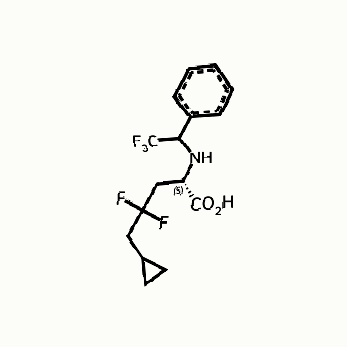 O=C(O)[C@H](CC(F)(F)CC1CC1)NC(c1ccccc1)C(F)(F)F